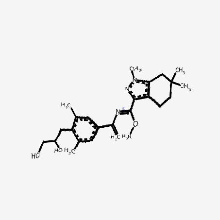 C=C(/N=C(\ON)c1nn(C)c2c1CCC(C)(C)C2)c1cc(C)c(CC(O)CO)c(C)c1